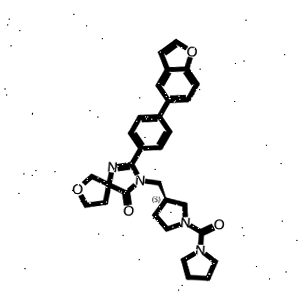 O=C(N1CCCC1)N1CC[C@@H](CN2C(=O)C3(CCOC3)N=C2c2ccc(-c3ccc4occc4c3)cc2)C1